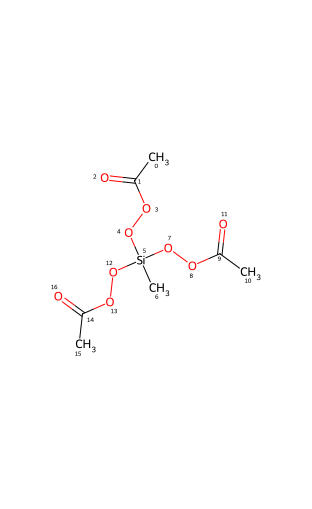 CC(=O)OO[Si](C)(OOC(C)=O)OOC(C)=O